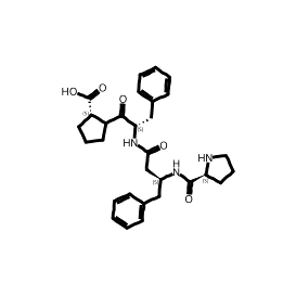 O=C(C[C@H](Cc1ccccc1)NC(=O)[C@@H]1CCCN1)N[C@@H](Cc1ccccc1)C(=O)C1CCC[C@@H]1C(=O)O